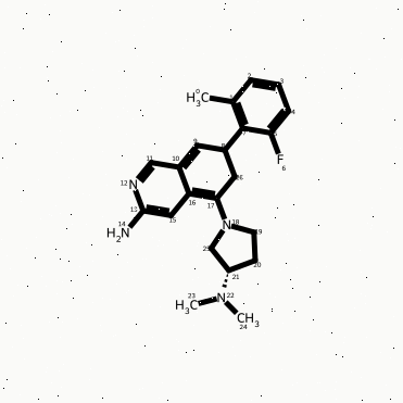 Cc1cccc(F)c1C1C=c2cnc(N)cc2=C(N2CC[C@H](N(C)C)C2)C1